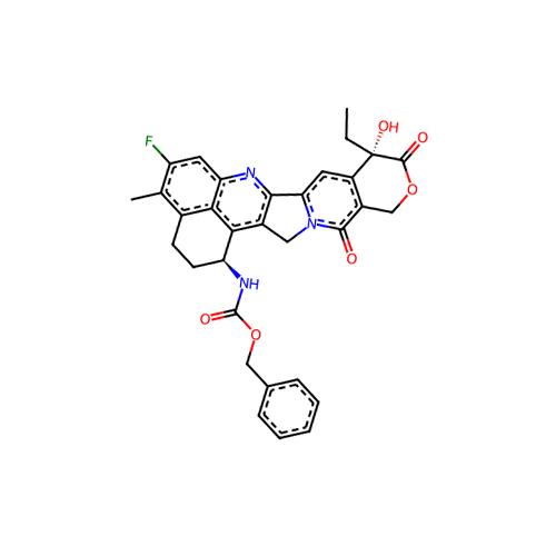 CC[C@@]1(O)C(=O)OCc2c1cc1n(c2=O)Cc2c-1nc1cc(F)c(C)c3c1c2[C@@H](NC(=O)OCc1ccccc1)CC3